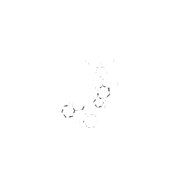 Cc1cccnc1C(=O)N1CCCC[C@H]1c1cc2nc(N3C[C@@H](C#N)[C@@H](C)C3)c(C)cn2n1